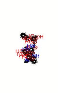 CC(=O)NC1CC(C(=O)NCCO[C@H]2OC(CO)[C@@H](O)C(OCc3cc4ccccc4oc3=O)C2O)C[C@@H](O[C@@H]2OC(CO)[C@H](O)C(O[C@@H](CC3CCCCC3)C(=O)N3CCC3)C2NC(C)=O)C1O[C@@H]1OC(C)[C@@H](O)C(O)C1O